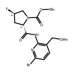 COCc1ccc(Br)nc1NC(=O)[C@@H]1C[C@@H](F)CN1C(=O)OC(C)(C)C